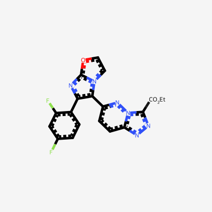 CCOC(=O)c1nnc2ccc(-c3c(-c4ccc(F)cc4F)nc4occn34)nn12